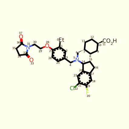 CCc1cc(CN(C[C@H]2CC[C@H](C(=O)O)CC2)C2CCc3cc(F)c(Cl)cc32)ccc1OCCN1C(=O)CCC1=O